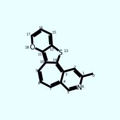 Cc1cc2c(cn1)=CC=Cc1c3c(sc1=2)=CC=CO3